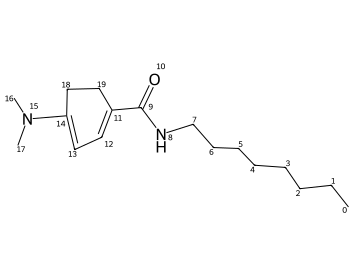 CCCCCCCCNC(=O)C1=CC=C(N(C)C)CC1